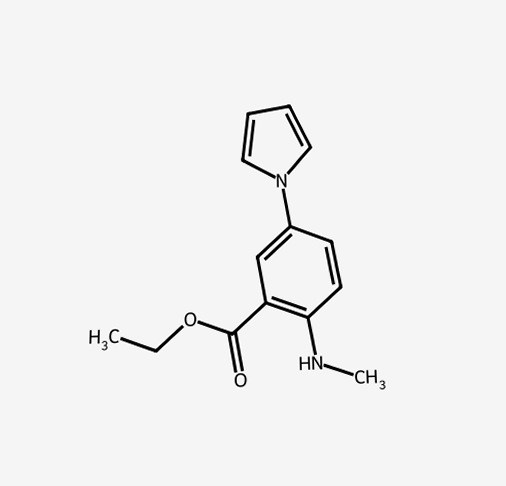 CCOC(=O)c1cc(-n2cccc2)ccc1NC